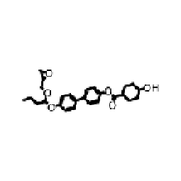 CCCC(OCC1CO1)Oc1ccc(-c2ccc(OC(=O)C3CCC(O)CC3)cc2)cc1